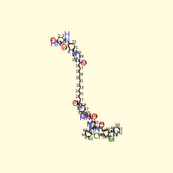 O=C1CCC(Nc2ccc(N3CCN(C(=O)CCCCCCCCCCCCC(=O)N4CCC(O)(CNC(=O)c5cc(NC(=O)c6cc(-c7ccccn7)c(Cl)cc6Cl)n(-c6ccccc6)n5)CC4)CC3)cc2)C(=O)N1